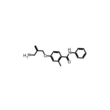 C=C(CN)COc1ccc(C(=O)Nc2ccccc2)c(C)c1